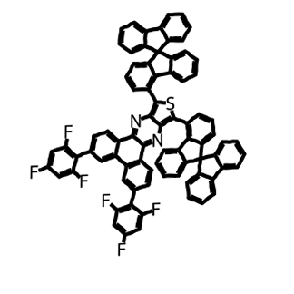 Fc1cc(F)c(-c2ccc3c(c2)c2cc(-c4c(F)cc(F)cc4F)ccc2c2nc4c(-c5cccc6c5-c5ccccc5C65c6ccccc6-c6ccccc65)sc(-c5cccc6c5-c5ccccc5C65c6ccccc6-c6ccccc65)c4nc32)c(F)c1